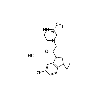 C[C@@H]1CN(CC(=O)N2CC3(CC3)c3ccc(Cl)cc32)CCN1.Cl